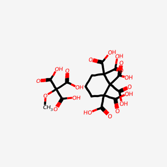 COC(C(=O)O)(C(=O)O)C(=O)O.O=C(O)C1(C(=O)O)CCCC(C(=O)O)(C(=O)O)C1(C(=O)O)C(=O)O